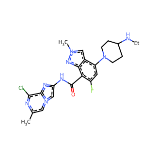 CCNC1CCN(c2cc(F)c(C(=O)Nc3cn4cc(C)nc(Cl)c4n3)c3nn(C)cc23)CC1